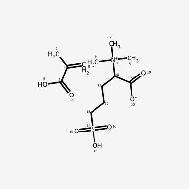 C=C(C)C(=O)O.C[N+](C)(C)C(CCCS(=O)(=O)O)C(=O)[O-]